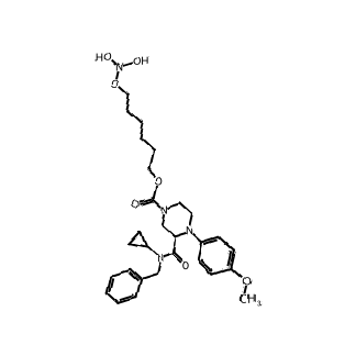 COc1ccc(N2CCN(C(=O)OCCCCCCON(O)O)C[C@@H]2C(=O)N(Cc2ccccc2)C2CC2)cc1